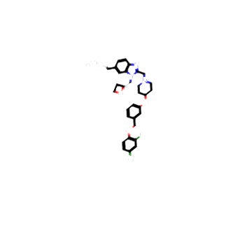 O=C(O)Cc1ccc2nc(CN3CCC(Oc4cccc(COc5ccc(Cl)cc5F)c4)CC3)n(C[C@@H]3CCO3)c2c1